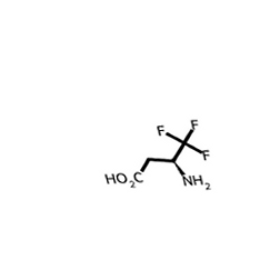 N[C@@H](CC(=O)O)C(F)(F)F